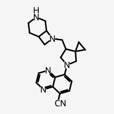 N#Cc1ccc(N2CC(CN3CC4CCNCC43)C3(CC3)C2)c2nccnc12